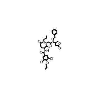 C=CCOc1c(Cl)cc(C(=O)NC2CCC(=O)N(CCC)N(CC(=O)N(OCc3ccccc3)C3COC(=O)C3)C2=O)cc1Cl